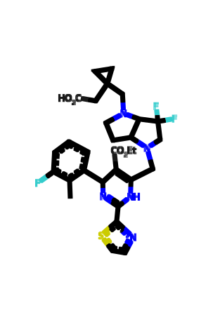 CCOC(=O)C1=C(CN2CC(F)(F)C3C2CCN3CC2(CC(=O)O)CC2)NC(c2nccs2)=NC1c1cccc(F)c1C